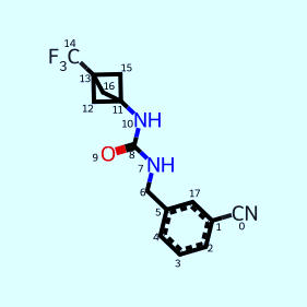 N#Cc1cccc(CNC(=O)NC23CC(C(F)(F)F)(C2)C3)c1